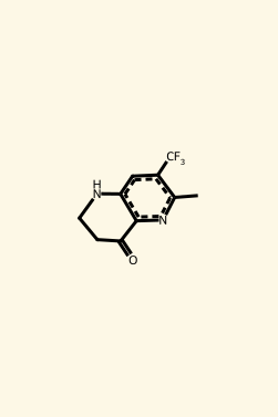 Cc1nc2c(cc1C(F)(F)F)NCCC2=O